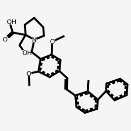 COc1cc(C=Cc2cccc(-c3ccccc3)c2C)cc(OC)c1CN1CCCCC1(CO)C(=O)O